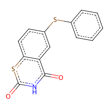 O=c1[nH]c(=O)c2cc(Sc3ccccc3)ccc2s1